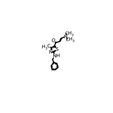 Cc1nc(NCc2ccccc2)sc1C(=O)C=CN(C)C